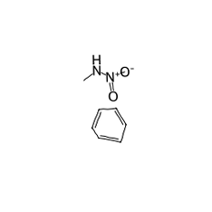 CN[N+](=O)[O-].c1ccccc1